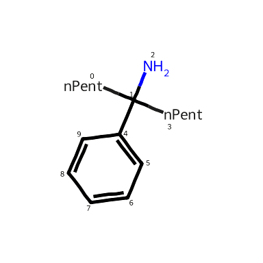 CCCCCC(N)(CCCCC)c1ccccc1